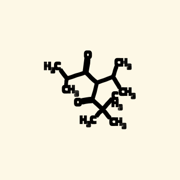 CC(C)C(=O)C(C(=O)C(C)(C)C)C(C)C